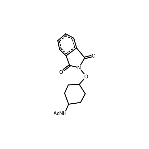 CC(=O)NC1CCC(ON2C(=O)c3ccccc3C2=O)CC1